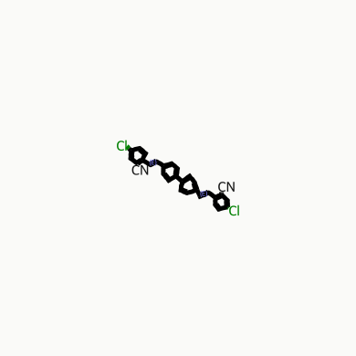 N#Cc1cc(Cl)ccc1/C=C/c1ccc(-c2ccc(/C=C/c3ccc(Cl)cc3C#N)cc2)cc1